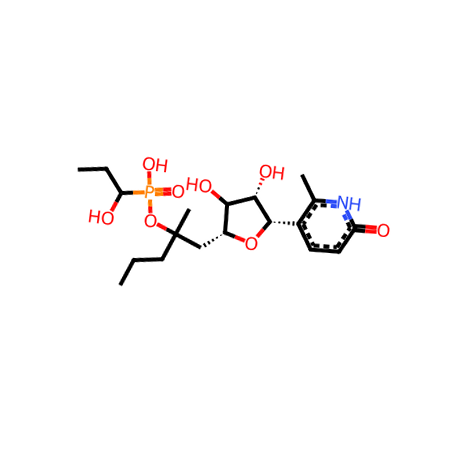 CCCC(C)(C[C@H]1O[C@@H](c2ccc(=O)[nH]c2C)[C@@H](O)C1O)OP(=O)(O)C(O)CC